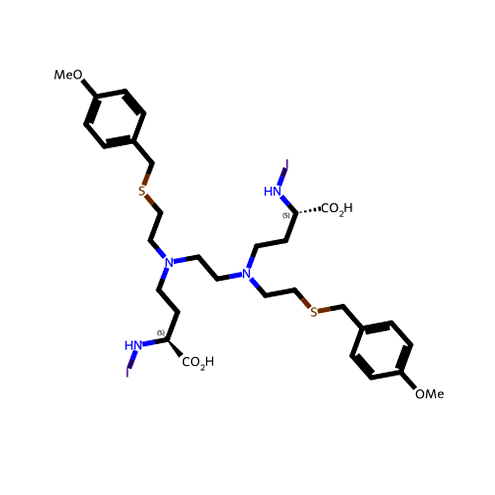 COc1ccc(CSCCN(CC[C@H](NI)C(=O)O)CCN(CCSCc2ccc(OC)cc2)CC[C@H](NI)C(=O)O)cc1